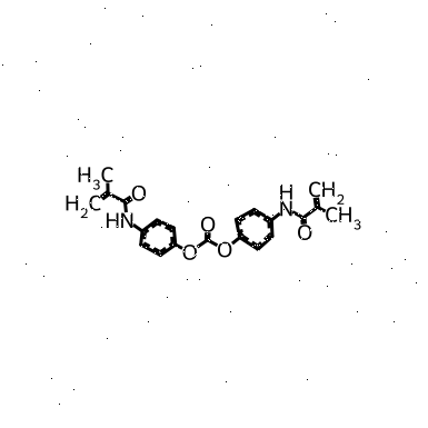 C=C(C)C(=O)Nc1ccc(OC(=O)Oc2ccc(NC(=O)C(=C)C)cc2)cc1